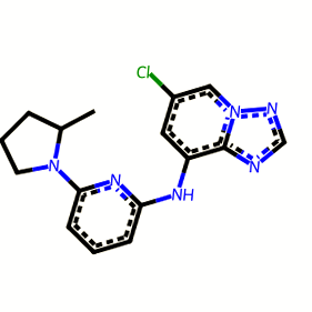 CC1CCCN1c1cccc(Nc2cc(Cl)cn3ncnc23)n1